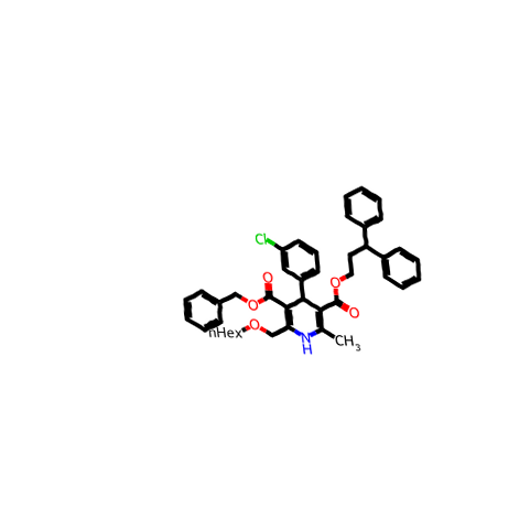 CCCCCCOCC1=C(C(=O)OCc2ccccc2)C(c2cccc(Cl)c2)C(C(=O)OCCC(c2ccccc2)c2ccccc2)=C(C)N1